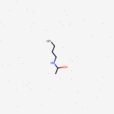 CCCCCCNC(C)O